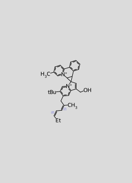 CC/C=C\C=C(\C)Cc1cc2[n+](cc1C(C)(C)C)C1(C=C2CO)C2c3ccccc3-c3ccc(C)c[n+]3C21